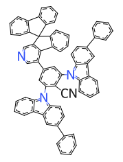 N#Cc1c(-n2c3ccccc3c3cc(-c4ccccc4)ccc32)cc(-c2cncc3c2-c2ccccc2C32c3ccccc3-c3ccccc32)cc1-n1c2ccccc2c2cc(-c3ccccc3)ccc21